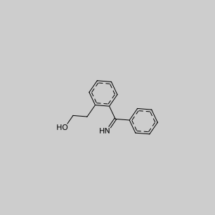 N=C(c1ccccc1)c1ccccc1CCO